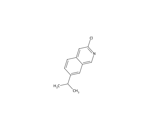 CC(C)c1ccc2cc(Cl)ncc2c1